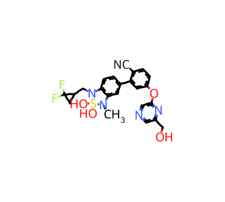 CN1c2cc(-c3cc(Oc4cncc(CO)n4)ccc3C#N)ccc2N(CC2CC2(F)F)S1(O)O